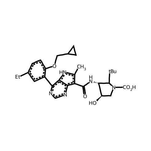 CCc1ccc(OCC2CC2)c(-c2ncnc3c(C(=O)N[C@@H]4C(C(C)(C)C)N(C(=O)O)C[C@H]4O)c(C)[nH]c23)c1